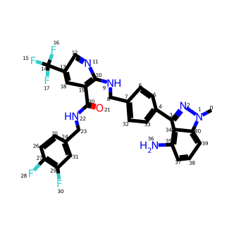 Cn1nc(-c2ccc(CNc3ncc(C(F)(F)F)cc3C(=O)NCc3ccc(F)c(F)c3)cc2)c2c(N)cccc21